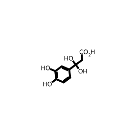 O=C(O)CC(O)(O)c1ccc(O)c(O)c1